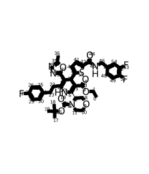 CCOC(=O)C1=C([C@@H]2COCCN2C(=O)OC(C)(C)C)NC(CCc2ccc(F)cc2)=C(c2nnc(C)o2)C1c1ccc(C(=O)NCc2ccc(F)c(F)c2)s1